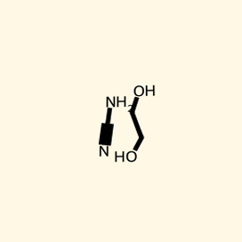 N#CN.OCCO